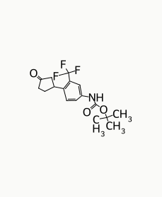 CC(C)(C)OC(=O)Nc1ccc(C2CCC(=O)C2)c(C(F)(F)F)c1